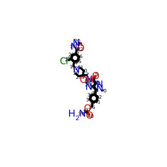 Cn1nc2c(=O)n(CC3(O)CCN(Cc4ccc(-c5nnco5)cc4Cl)CC3)cnc2c1-c1ccc(COC(N)=O)cc1